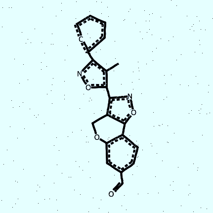 Cc1c(-c2ccccc2)noc1-c1noc2c1COc1cc(C=O)ccc1-2